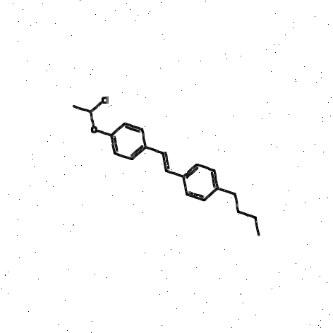 CCCCc1ccc(C=Cc2ccc(OC(C)Cl)cc2)cc1